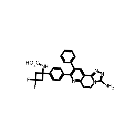 Nc1nnc2c3cc(-c4ccccc4)c(-c4ccc(C5(NC(=O)O)CC(F)(F)C5)cc4)nc3ccn12